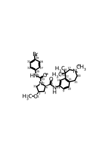 CO[C@@H]1C[C@H](C(=O)Nc2ccc3c(c2)C(C)(C)CN(C)CC3)N(C(=O)Nc2ccc(Br)cc2)C1